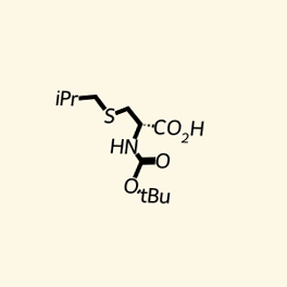 CC(C)CSC[C@@H](NC(=O)OC(C)(C)C)C(=O)O